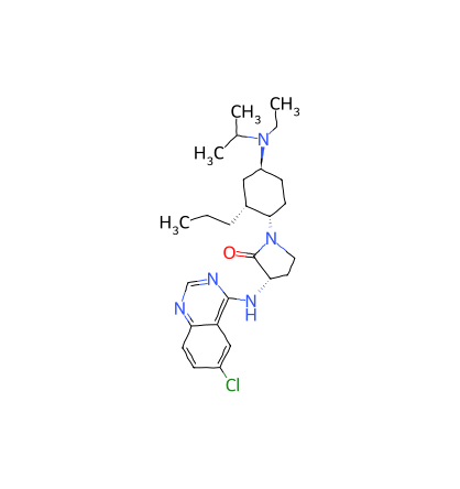 CCC[C@@H]1C[C@@H](N(CC)C(C)C)CC[C@@H]1N1CC[C@H](Nc2ncnc3ccc(Cl)cc23)C1=O